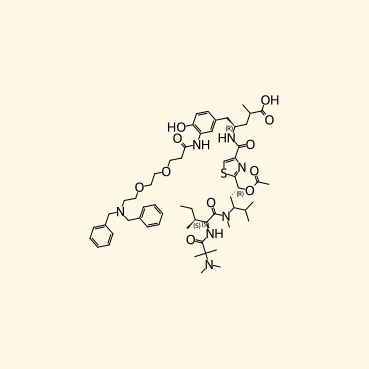 CC[C@H](C)[C@H](NC(=O)C(C)(C)N(C)C)C(=O)N(C)C(C[C@@H](OC(C)=O)c1nc(C(=O)N[C@@H](Cc2ccc(O)c(NC(=O)CCOCCOCCN(Cc3ccccc3)Cc3ccccc3)c2)CC(C)C(=O)O)cs1)C(C)C